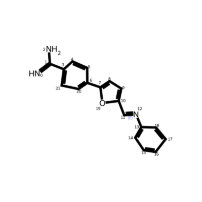 N=C(N)c1ccc(-c2ccc(/C=N/c3ccccc3)o2)cc1